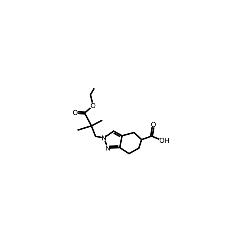 CCOC(=O)C(C)(C)Cn1cc2c(n1)CCC(C(=O)O)C2